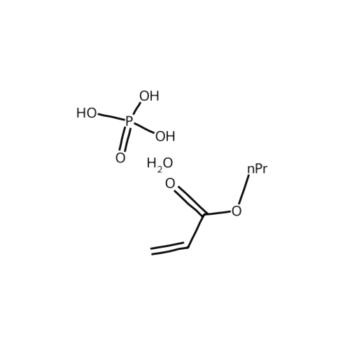 C=CC(=O)OCCC.O.O=P(O)(O)O